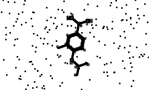 Cc1cc(B(O)O)cnc1OC(C)C